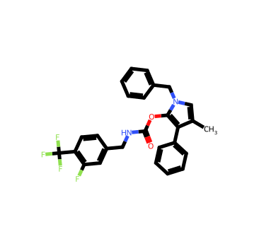 Cc1cn(Cc2ccccc2)c(OC(=O)NCc2ccc(C(F)(F)F)c(F)c2)c1-c1ccccc1